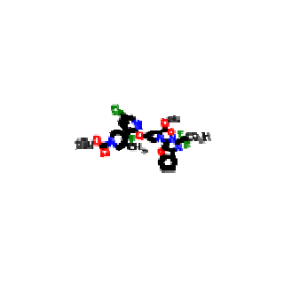 C[C@H]1CN(C(=O)OC(C)(C)C)CC[C@]1(F)c1cc(Cl)cnc1O[C@H]1C[C@@H](C(=O)OC(C)(C)C)N(c2nc(C(F)(F)C(=O)O)nc3c2oc2ccccc23)C1